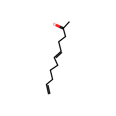 C=CCCCC=CCCC(C)=O